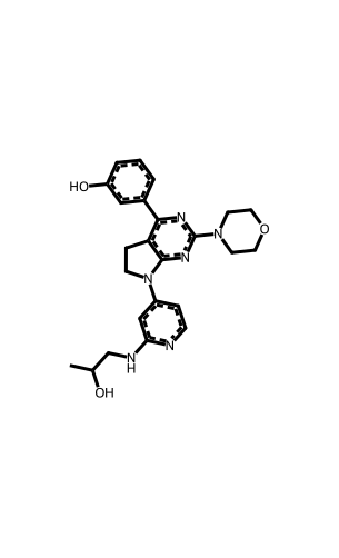 CC(O)CNc1cc(N2CCc3c(-c4cccc(O)c4)nc(N4CCOCC4)nc32)ccn1